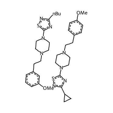 CCCCc1nsc(N2CCN(CCc3cccc(OC)c3)CC2)n1.COc1ccc(CCN2CCN(c3nc(C4CC4)ns3)CC2)cc1